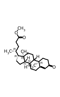 COC(=O)CC[C@@H](C)[C@H]1CC[C@H]2[C@@H]3CCC4=CC(=O)CC[C@]4(C)[C@H]3CC[C@]12C